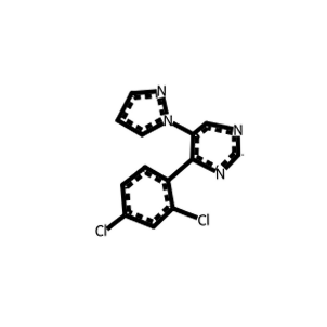 Clc1ccc(-c2n[c]ncc2-n2cccn2)c(Cl)c1